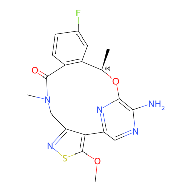 COc1snc2c1-c1cnc(N)c(n1)O[C@H](C)c1cc(F)ccc1C(=O)N(C)C2